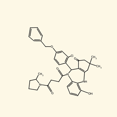 CC1CCCN1C(=O)CCC(=O)N1c2cccc(O)c2NC2=C(C(=O)CC(C)(C)C2)C1c1ccc(OCc2ccccc2)cc1Cl